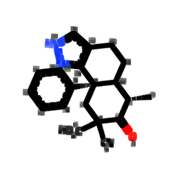 C[C@@H]1C(=O)C(C#N)(C(=O)O)C[C@@]2(c3ccccc3)c3n[nH]cc3CCC12